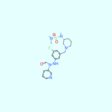 CN(C)S(=O)(=O)N(C)[C@@H]1CCCN(Cc2cc(F)cc(NN(C=O)c3cccnc3)c2)C1